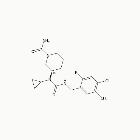 Cc1cc(CNC(=O)N(C2CC2)[C@@H]2CCCN(C(N)=O)C2)c(F)cc1Cl